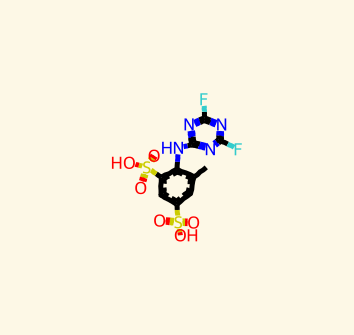 Cc1cc(S(=O)(=O)O)cc(S(=O)(=O)O)c1Nc1nc(F)nc(F)n1